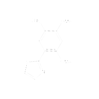 COc1cc(OC)c(-c2nccs2)cc1C=O